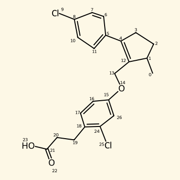 CC1CCC(c2ccc(Cl)cc2)=C1COc1ccc(CCC(=O)O)c(Cl)c1